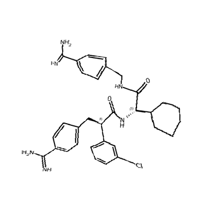 N=C(N)c1ccc(CNC(=O)[C@@H](NC(=O)[C@H](Cc2ccc(C(=N)N)cc2)c2cccc(Cl)c2)C2CCCCC2)cc1